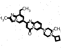 CCc1cc(-c2cc(=O)n3cc(N4CCN(C5CCC5)[C@@H](C)C4)ccc3n2)cn2cc(C)nc12